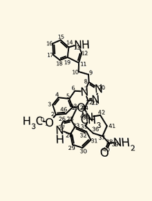 COc1ccc(Cn2c(CCc3c[nH]c4ccccc34)nnc2[C@@H](Cc2c[nH]c3ccccc23)N2CCC(C(N)=O)CC2)c(OC)c1